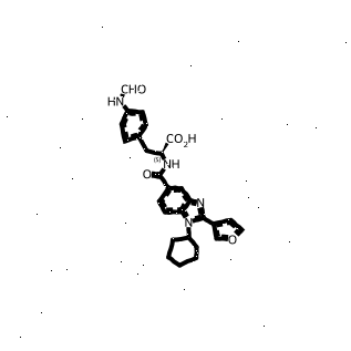 O=CNc1ccc(C[C@H](NC(=O)c2ccc3c(c2)nc(-c2ccoc2)n3C2CCCCC2)C(=O)O)cc1